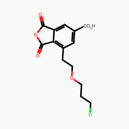 O=C(O)c1cc(CCOCCCCl)c2c(c1)C(=O)OC2=O